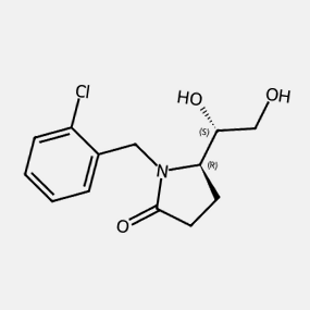 O=C1CC[C@H]([C@H](O)CO)N1Cc1ccccc1Cl